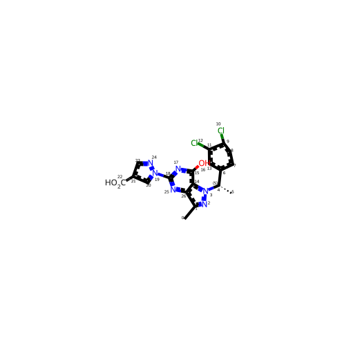 Cc1nn([C@@H](C)c2ccc(Cl)c(Cl)c2)c2c(O)nc(-n3cc(C(=O)O)cn3)nc12